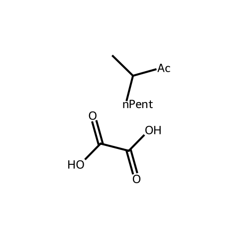 CCCCCC(C)C(C)=O.O=C(O)C(=O)O